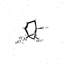 CN1[C@@H]2CCC[C@@]1(N)CC2.Cl.Cl